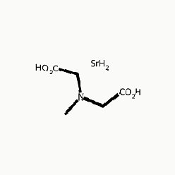 CN(CC(=O)O)CC(=O)O.[SrH2]